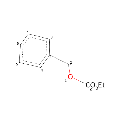 CCOC(=O)O[CH]c1ccccc1